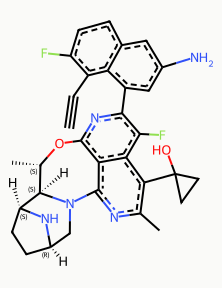 C#Cc1c(F)ccc2cc(N)cc(-c3nc4c5c(nc(C)c(C6(O)CC6)c5c3F)N3C[C@H]5CC[C@H](N5)[C@H]3[C@H](C)O4)c12